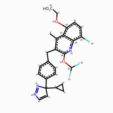 Cc1c(Cc2ccc(C3(C4CC4)C=CN=N3)cc2)c(OC(F)F)nc2c(F)ccc(OCC(=O)O)c12